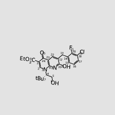 CCOC(=O)c1cn([C@H](CO)C(C)(C)C)c2nc(O)c(Cc3cccc(Cl)c3F)cc2c1=O